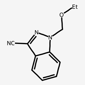 CCOCn1nc(C#N)c2ccccc21